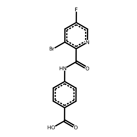 O=C(O)c1ccc(NC(=O)c2ncc(F)cc2Br)cc1